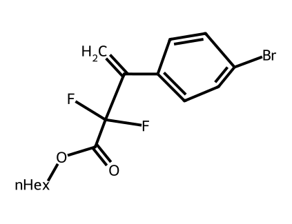 C=C(c1ccc(Br)cc1)C(F)(F)C(=O)OCCCCCC